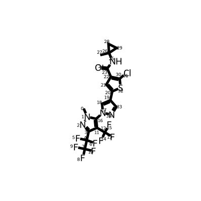 Cn1nc(C(F)(F)C(F)(F)F)c(C(F)(F)F)c1-n1cc(-c2cc(C(=O)NC3(C)CC3)c(Cl)s2)cn1